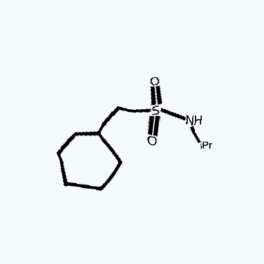 CC(C)NS(=O)(=O)CC1CCCCC1